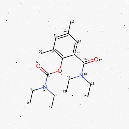 CCN(CC)C(=O)Oc1c(C)cc(C)cc1C(=O)N(CC)CC